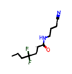 CCCC(F)(F)C[CH]C(=O)NCCCC#N